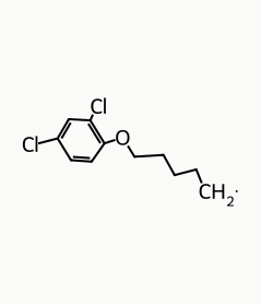 [CH2]CCCCOc1ccc(Cl)cc1Cl